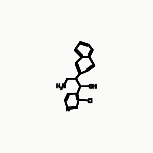 NCC(c1ccc2ccccc2c1)C(O)c1ccncc1Cl